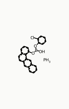 OB(Oc1ccccc1Cl)Oc1cccc2ccc3cc4ccccc4cc3c12.P